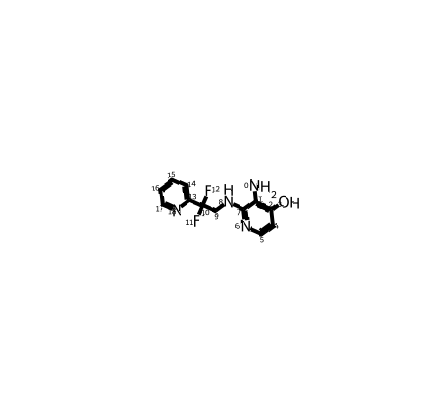 Nc1c(O)ccnc1NCC(F)(F)c1ccccn1